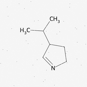 CC(C)C1C=NCC1